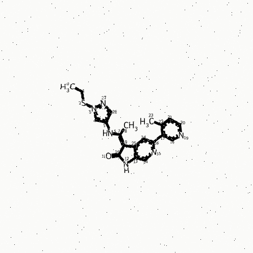 CCSn1cc(N/C(C)=C2\C(=O)Nc3cnc(-c4cnccc4C)cc32)cn1